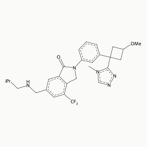 COC1CC(c2cccc(N3Cc4c(cc(CNCC(C)C)cc4C(F)(F)F)C3=O)c2)(c2nncn2C)C1